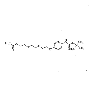 CC(=O)SCCOCCOCCOc1ccc(NC(=O)OC(C)(C)C)cc1